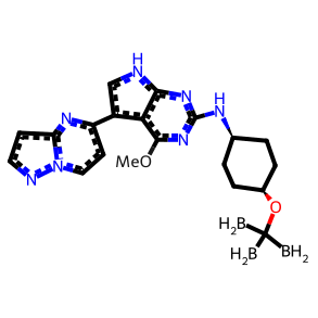 BC(B)(B)O[C@H]1CC[C@@H](Nc2nc(OC)c3c(-c4ccn5nccc5n4)c[nH]c3n2)CC1